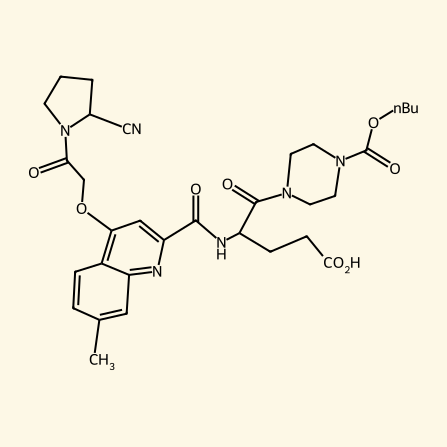 CCCCOC(=O)N1CCN(C(=O)C(CCC(=O)O)NC(=O)c2cc(OCC(=O)N3CCCC3C#N)c3ccc(C)cc3n2)CC1